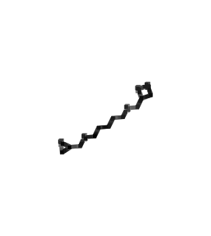 C(CCSCC1CS1)CCSCC1CSS1